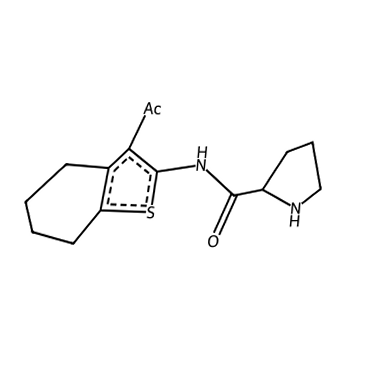 CC(=O)c1c(NC(=O)C2CCCN2)sc2c1CCCC2